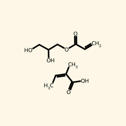 C=CC(=O)OCC(O)CO.CC=C(C)C(=O)O